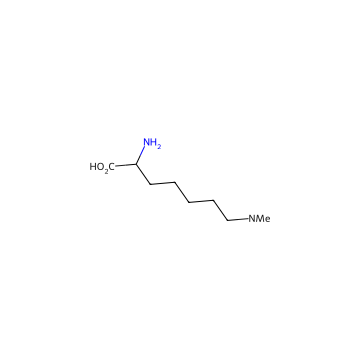 CNCCCCCC(N)C(=O)O